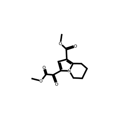 COC(=O)C(=O)c1cc(C(=O)OC)c2n1CCCC2